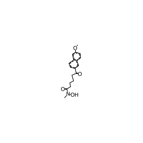 COc1ccc2cc(C(=O)CCCCC(=O)N(C)O)ccc2c1